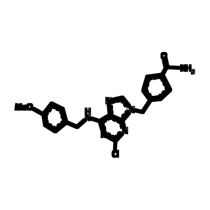 COc1ccc(CNc2nc(Cl)nc3c2ncn3Cc2ccc(C(N)=O)cc2)cc1